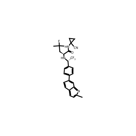 Cc1ccc2ccc(-c3ccc([C@H](N[C@@H](CC(C)(C)F)C(=O)NC4(C#N)CC4)C(F)(F)F)cc3)cc2n1